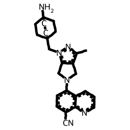 Cc1nn(CC23CCC(N)(CC2)CC3)c2c1CN(c1ccc(C#N)c3ncccc13)C2